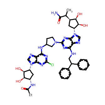 CCC(=O)N[C@H]1C[C@@H](n2cnc3c(NC4CCN(c5nc(NCC(c6ccccc6)c6ccccc6)c6ncn([C@@H]7C[C@@H](C(C)C(N)=O)[C@@H](O)[C@H]7O)c6n5)C4)nc(Cl)nc32)[C@H](O)[C@@H]1O